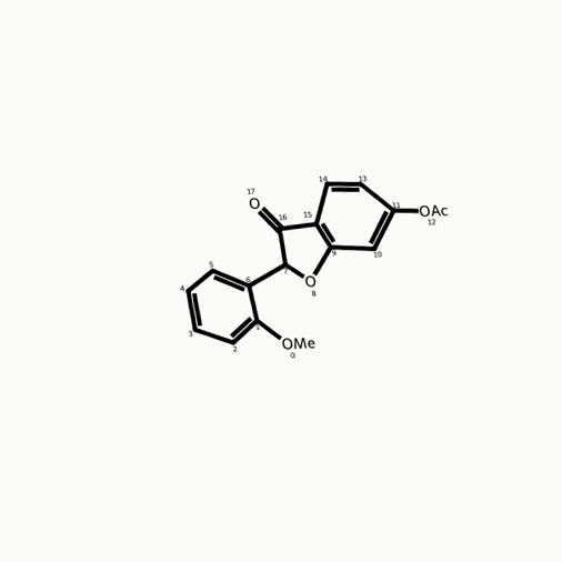 COc1ccccc1C1Oc2cc(OC(C)=O)ccc2C1=O